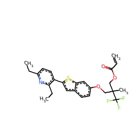 C=CC(=O)OCC(C)(COc1ccc2cc(-c3ccc(CC)nc3CC)sc2c1)C(F)(F)F